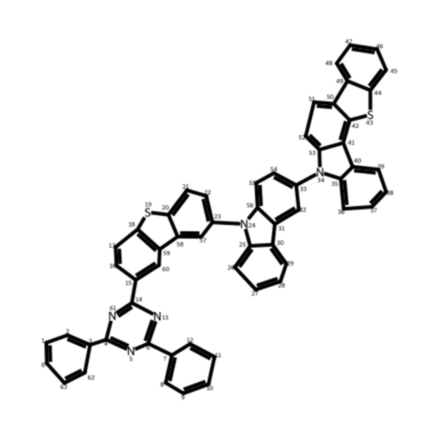 c1ccc(-c2nc(-c3ccccc3)nc(-c3ccc4sc5ccc(-n6c7ccccc7c7cc(-n8c9ccccc9c9c%10sc%11ccccc%11c%10ccc98)ccc76)cc5c4c3)n2)cc1